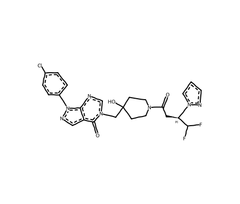 O=C(C[C@H](C(F)F)n1cccn1)N1CCC(O)(Cn2cnc3c(cnn3-c3ccc(Cl)cc3)c2=O)CC1